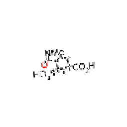 [CH2]NC(=O)c1ccc(C(=O)O)cc1S(=O)(=O)O